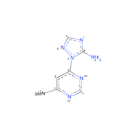 CNc1cc(-n2ncnc2N)ncn1